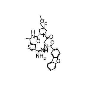 COC[C@@]1(F)C[C@@H](C(=O)NC(C)c2cc(C(=N)N)cs2)N(C(=O)CNC(=O)c2ccc3oc4ccccc4c3c2)C1